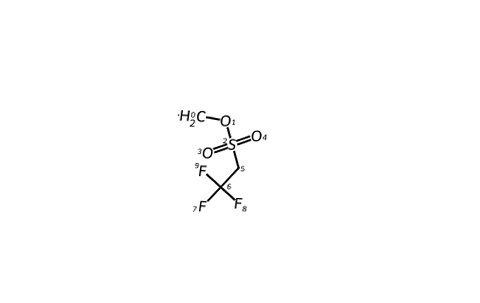 [CH2]OS(=O)(=O)CC(F)(F)F